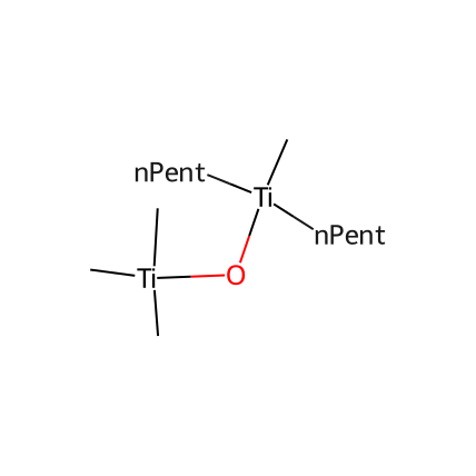 CCCC[CH2][Ti]([CH3])([CH2]CCCC)[O][Ti]([CH3])([CH3])[CH3]